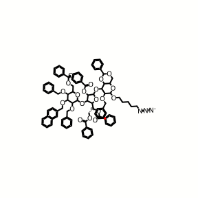 [N-]=[N+]=NCCCCCOC1OC2COC(c3ccccc3)OC2C(OC2OC([C@@H](COC(=O)c3ccccc3)OC(=O)c3ccccc3)C(OC3OC(COC(=O)c4ccccc4)C(OCc4ccccc4)C(OCc4ccc5ccccc5c4)C3OCc3ccccc3)C2OC(=O)c2ccccc2)C1OCc1ccccc1